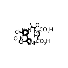 C[C@H](N)C(=O)N[C@H](CCC(=O)O)C(=O)O.O=[N+]([O-])c1c(Cl)cccc1-c1c[nH]cc1Cl